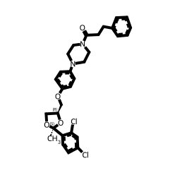 C[C@]1(c2ccc(Cl)cc2Cl)OC[C@@H](COc2ccc(N3CCN(C(=O)CCc4ccccc4)CC3)cc2)O1